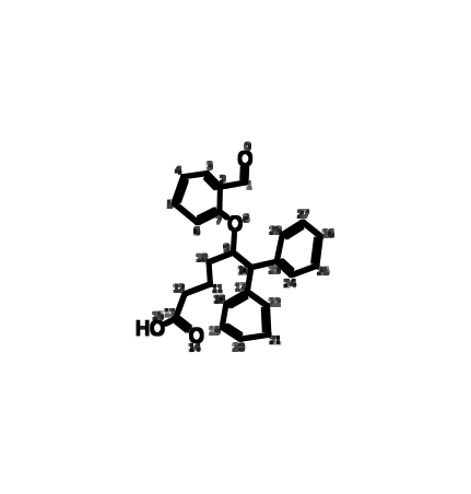 O=Cc1ccccc1OC(CCCC(=O)O)C(c1ccccc1)c1ccccc1